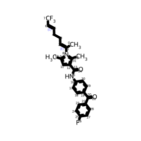 C/C(=C\CC/C=C/C(F)(F)F)n1c(C)cc(C(=O)Nc2ccc(C(=O)c3ccc(F)cc3)cc2)c1C